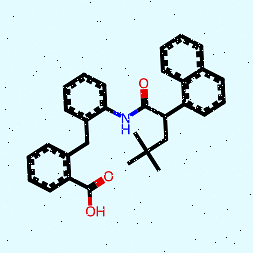 CC(C)(C)CC(C(=O)Nc1ccccc1Cc1ccccc1C(=O)O)c1cccc2ccccc12